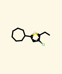 CCc1sc(C2CCCCCC2)cc1Cl